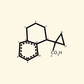 O=C(O)C1(C2CCCc3ccccc32)CC1